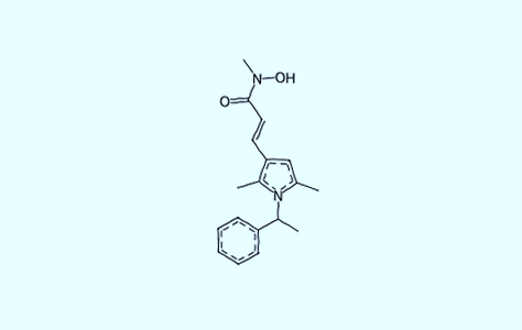 Cc1cc(C=CC(=O)N(C)O)c(C)n1C(C)c1ccccc1